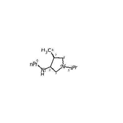 CCCNC1CN(C(C)C)CC1C